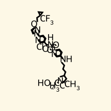 CC1(C)CC(CCCCNc2ccc(S(=O)(=O)NC(=O)c3ccc(-n4ccc(OCCC5(C(F)(F)F)CC5)n4)nc3Cl)nc2)CN1C(=O)O